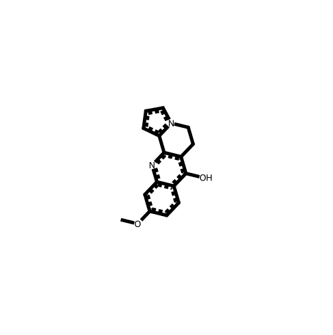 COc1ccc2c(O)c3c(nc2c1)-c1cccn1CC3